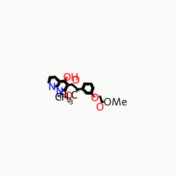 C=C(C(=O)c1c(O)c2cccnc2n(C)c1=O)c1cccc(OCC(=O)OC)c1